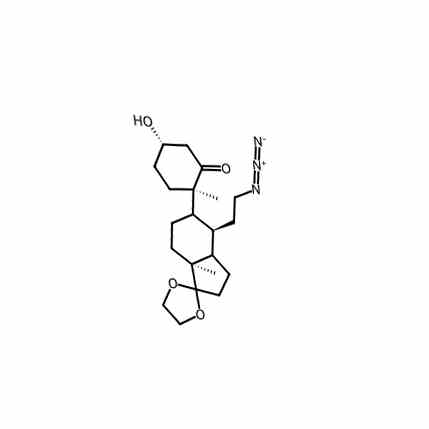 C[C@]1(C2CC[C@@]3(C)C(CCC34OCCO4)[C@@H]2CCN=[N+]=[N-])CC[C@H](O)CC1=O